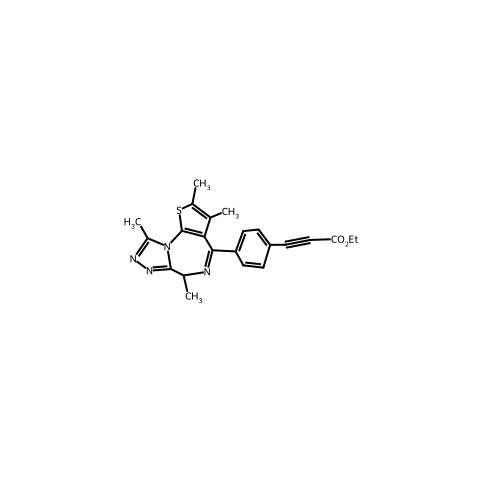 CCOC(=O)C#Cc1ccc(C2=NC(C)c3nnc(C)n3-c3sc(C)c(C)c32)cc1